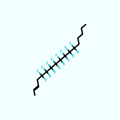 C/C=C/CC(F)(F)C(F)(F)C(F)(F)C(F)(F)C(F)(F)C(F)(F)C(F)(F)C(F)(F)CCCCC